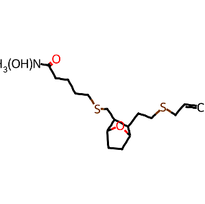 C=CCSCCC1C2CCC(O2)C1CSCCCCC(=O)N(C)O